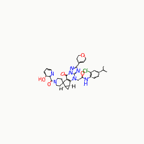 CC(C)c1ccc(NC(=O)Cn2c3c(c(=O)n4nc(C5=CCOCC5)nc24)C2(CCN(C(=O)c4ncccc4O)CC2)[C@@H]2C[C@H]32)c(Cl)c1